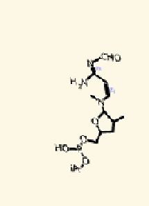 CC(C)OP(O)OCC1CC(C)C(N(C)/C=C\C(N)=N/C=O)O1